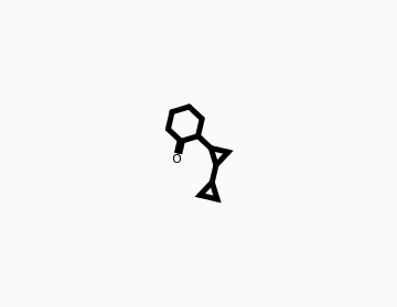 O=C1CCCCC1C1CC1C1CC1